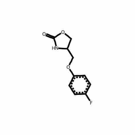 O=C1NC(COc2ccc(F)cc2)CO1